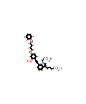 O=C(O)CCCc1cn(CC(=O)O)c2c(C#Cc3ccc(OCCCCOc4ccccc4)cc3O)cccc12